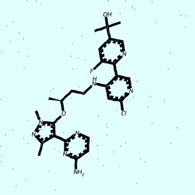 Cc1nn(C)c(O[C@@H](C)CCNc2cc(Cl)ncc2-c2ncc(C(C)(C)O)cc2F)c1-c1nccc(N)n1